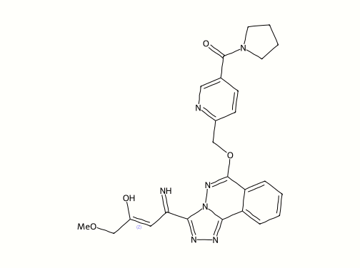 COC/C(O)=C/C(=N)c1nnc2c3ccccc3c(OCc3ccc(C(=O)N4CCCC4)cn3)nn12